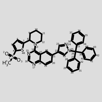 CS(=O)(=O)c1ccc(C2C[CH]CCN2c2ncnc3ccc(-c4cnn(C(c5ccccc5)(c5ccccc5)c5ccccc5)c4)cc23)s1